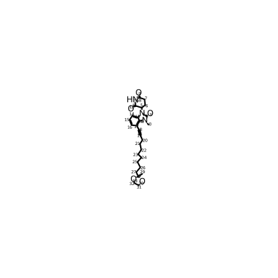 Cn1c(=O)n(C2CCC(=O)NC2=O)c2cccc(C#CCCCCCCCCC3(C)OCCO3)c21